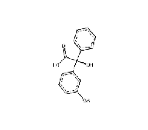 O=C(O)[C@](O)(c1ccccc1)c1cccc(O)c1